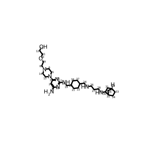 Nc1cc(N2CCN(CCOCCO)CC2)nc(NCC2CCC(CNCCCNC3C[C@@H]4CCC3C4)CC2)n1